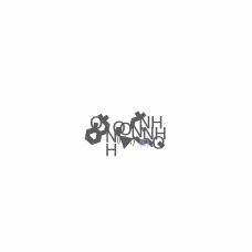 COC/C=C/C([C@@H]1C[C@H]1C(=O)NC1CC(C)(C)Oc2ccccc21)N1C(=N)NC(C)(C)CC1=O